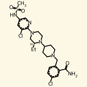 CC[C@H]1CN(c2ncc(NS(C)(=O)=O)cc2Cl)CCN1C1CCN(Cc2ccc(Cl)cc2C(N)=O)CC1